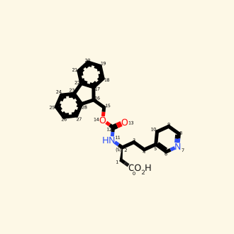 O=C(O)C[C@H](CCC1=CN=CCC1)NC(=O)OCC1c2ccccc2-c2ccccc21